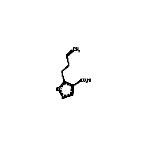 C=CCCc1oncc1C(=O)O